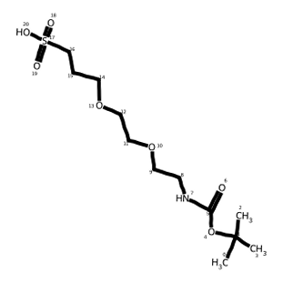 CC(C)(C)OC(=O)NCCOCCOCCCS(=O)(=O)O